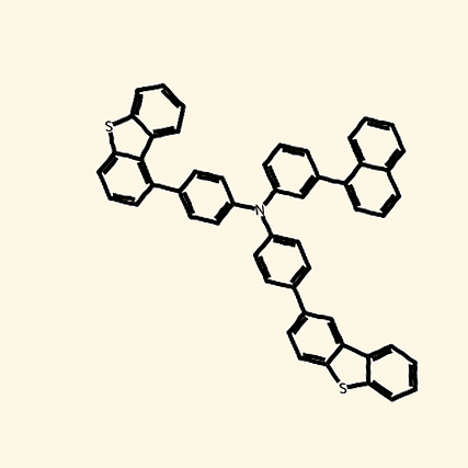 c1cc(-c2cccc3ccccc23)cc(N(c2ccc(-c3ccc4sc5ccccc5c4c3)cc2)c2ccc(-c3cccc4sc5ccccc5c34)cc2)c1